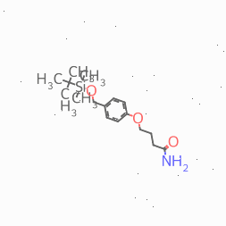 CC(C)(C)[Si](C)(C)OCc1ccc(OCCCC(N)=O)cc1